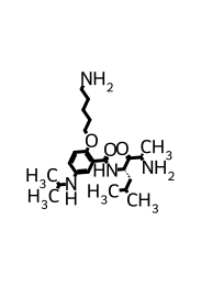 CC(C)C[C@H](NC(=O)c1cc(NC(C)C)ccc1OCCCCCN)C(=O)[C@@H](C)N